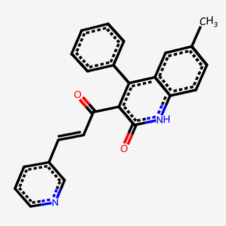 Cc1ccc2[nH]c(=O)c(C(=O)/C=C/c3cccnc3)c(-c3ccccc3)c2c1